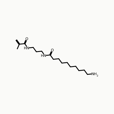 C=C(C)C(=O)NCCCNC(=O)CCCCCCCCCN